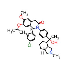 COc1cc2c(cc1OC(C)C)[C@H](c1ccc(Cl)cc1)N(c1ccc(C(C)(O)C3CCC[C@@H]4CN(C)CC34)cc1)C(=O)C2